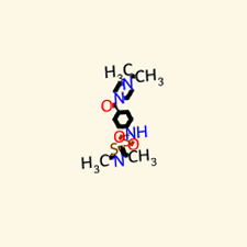 Cc1nc(C)c(S(=O)(=O)N[C@H]2CC[C@H](C(=O)N3CCN(C(C)C)CC3)CC2)s1